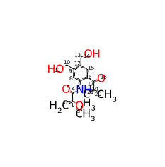 C=C(OC)C(=O)Nc1cc(CO)c(CO)cc1C(=O)C(C)C